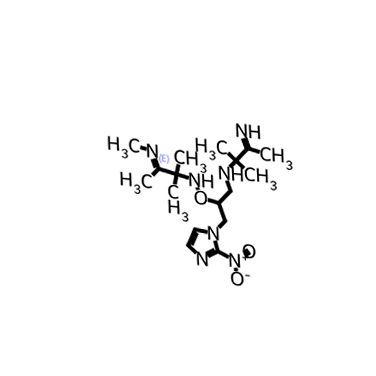 C/N=C(\C)C(C)(C)NOC(CNC(C)(C)C(C)=N)Cn1ccnc1[N+](=O)[O-]